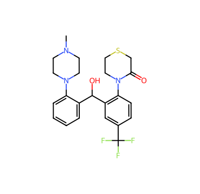 CN1CCN(c2ccccc2C(O)c2cc(C(F)(F)F)ccc2N2CCSCC2=O)CC1